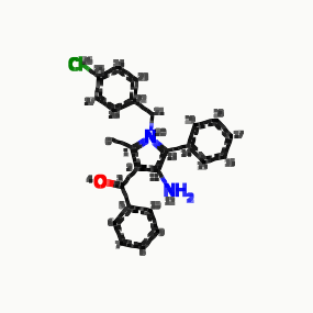 Cc1c(C(=O)c2ccccc2)c(N)c(-c2ccccc2)n1Cc1ccc(Cl)cc1